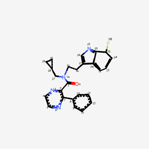 O=C(c1nccnc1-c1ccccc1)N(CCC1=CN=C2C1=CC=CC2F)CC1CC1